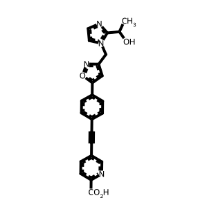 CC(O)c1nccn1Cc1cc(-c2ccc(C#Cc3ccc(C(=O)O)nc3)cc2)on1